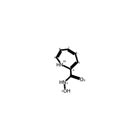 O=C(NO)C1=CC=CC=CN1